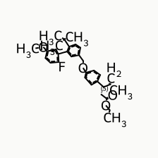 C=C(C)[C@H](CC(=O)OCC)c1ccc(OCc2ccc(C(C)(C)C)c(-c3cc(OC)ccc3F)c2)cc1